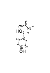 CC(=O)N(C)CC(O)c1ccc(O)cc1